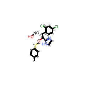 Cc1ccc(SCOC(Cc2ccc(Cl)cc2Cl)c2ncc[nH]2)cc1.O=[N+]([O-])O